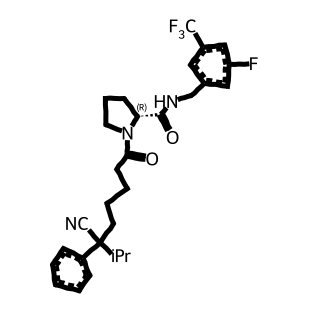 CC(C)C(C#N)(CCCCC(=O)N1CCC[C@@H]1C(=O)NCc1cc(F)cc(C(F)(F)F)c1)c1ccccc1